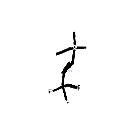 C[Si](C)(C)/C=C/C(F)(F)F